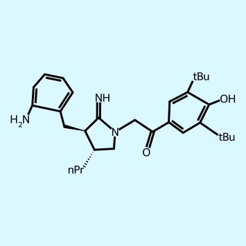 CCC[C@H]1CN(CC(=O)c2cc(C(C)(C)C)c(O)c(C(C)(C)C)c2)C(=N)[C@@H]1Cc1ccccc1N